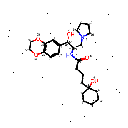 O=C(CCCC1(O)CCCCC1)N[C@H](CN1CCCC1)[C@H](O)c1ccc2c(c1)OCCO2